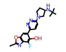 Cc1nc2c(F)c(O)c(-c3ccc(N4CC[C@@H](NC(C)(C)C)C4)nn3)cc2o1